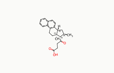 C[C@@H]1C[C@H]2c3ccc4ccccc4c3CC[C@]2(C)[C@H]1C(=O)CCC(=O)O